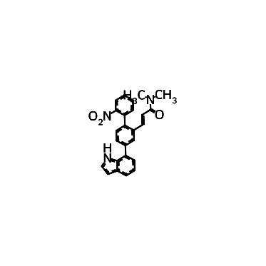 CN(C)C(=O)/C=C/c1cc(-c2cccc3cc[nH]c23)ccc1-c1ccccc1[N+](=O)[O-]